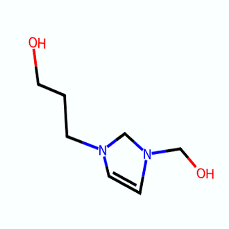 OCCCN1C=CN(CO)C1